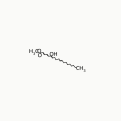 CCCCCCCCC=CCCCC=C(O)C=C/C=C/C(=O)OC